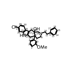 COc1cccc(C23CCN(CCc4ccccc4)CC2(O)Cc2c([nH]c4cc(Cl)ccc24)C3)c1